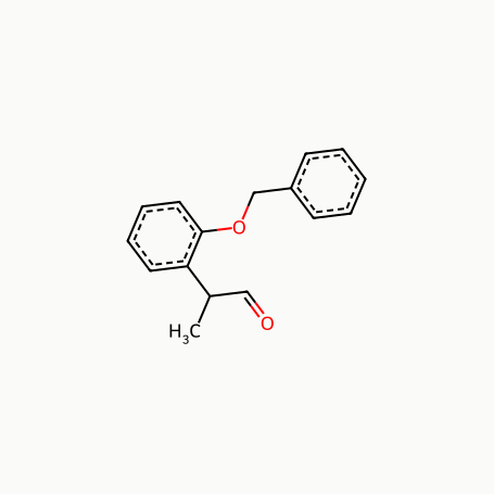 CC(C=O)c1ccccc1OCc1ccccc1